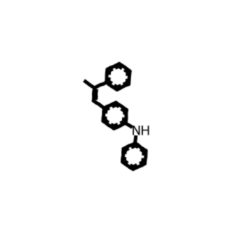 CC(=Cc1ccc(Nc2ccccc2)cc1)c1ccccc1